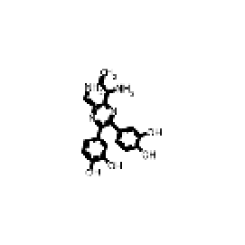 C=C/C(N)=c1/nc(-c2ccc(O)c(O)c2)c(-c2ccc(O)c(O)c2)n/c1=C/N